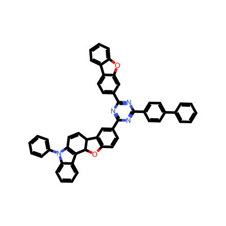 C1=CC2c3cc(-c4nc(-c5ccc(-c6ccccc6)cc5)nc(-c5ccc6c(c5)oc5ccccc56)n4)ccc3OC2c2c1n(-c1ccccc1)c1ccccc21